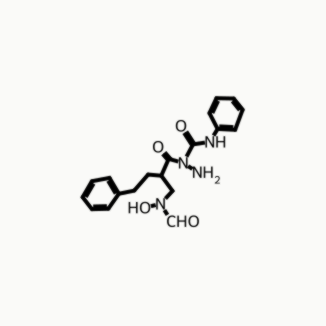 NN(C(=O)Nc1ccccc1)C(=O)C(CCc1ccccc1)CN(O)C=O